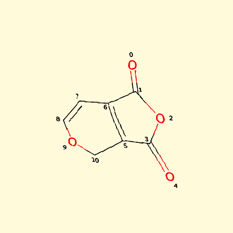 O=C1OC(=O)C2=C1C=COC2